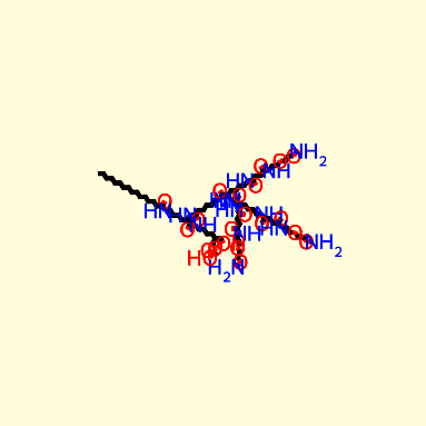 CCCCCCCCCCCCCCCC(=O)NCCCCC(NC(=O)CCCCCNC(=O)C(CCCCNC(=O)CCC(=O)NCCOCCON)NC(=O)C(CCCCNC(=O)CCC(=O)NCCOCCON)NC(=O)CCC(=O)NCCOCCON)C(=O)NCCCCC(CO)COP(C)(=O)O